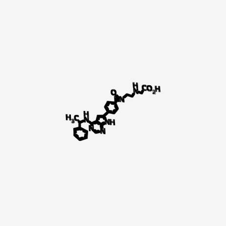 CC(Nc1ncnc2[nH]c(-c3ccc(C(=O)NCCNCC(=O)O)cc3)cc12)c1ccccc1